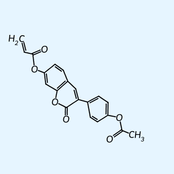 C=CC(=O)Oc1ccc2cc(-c3ccc(OC(C)=O)cc3)c(=O)oc2c1